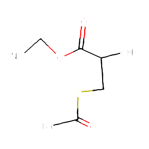 CC(CSC(=O)C(C)(C)C)C(=O)OCC#N